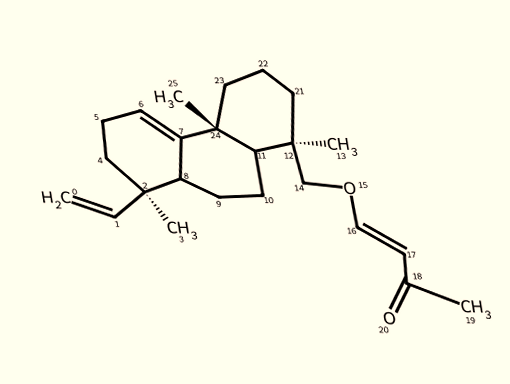 C=C[C@@]1(C)CCC=C2C1CCC1[C@](C)(CO/C=C/C(C)=O)CCC[C@@]21C